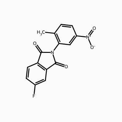 Cc1ccc([N+](=O)[O-])cc1N1C(=O)c2ccc(F)cc2C1=O